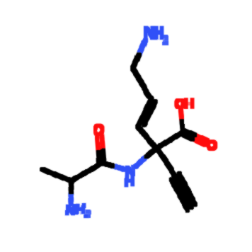 C#CC(C=CCN)(NC(=O)C(C)N)C(=O)O